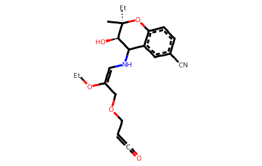 CCO/C(=C/NC1c2cc(C#N)ccc2O[C@@](C)(CC)[C@@H]1O)COCC=C=O